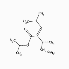 CC(C)C=C(C(=O)OC(C)C)C(C)C.[SnH2]